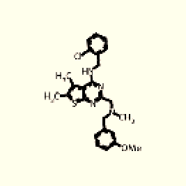 COc1cccc(CN(C)Cc2nc(NCc3ccccc3Cl)c3c(C)c(C)sc3n2)c1